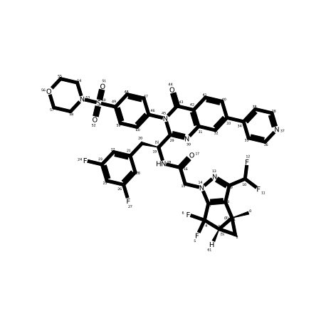 C[C@@]12C[C@@H]1C(F)(F)c1c2c(C(F)F)nn1CC(=O)N[C@@H](Cc1cc(F)cc(F)c1)c1nc2cc(-c3ccncc3)ccc2c(=O)n1-c1ccc(S(=O)(=O)N2CCOCC2)cc1